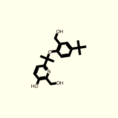 CC(C)(C)c1ccc(OC(C)(C)c2ccc(O)c(CO)n2)c(CO)c1